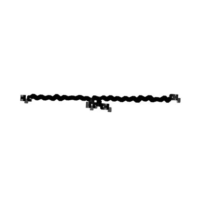 CCCCCC=CCC=CCCCCCCCCC[C@H](COCCCCCCCCCCCCCCCC)N(C)C